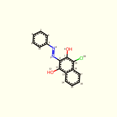 Oc1c(N=Nc2ccccc2)c(O)c2ccccc2c1Cl